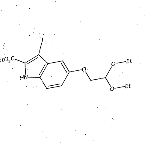 CCOC(=O)c1[nH]c2ccc(OCC(OCC)OCC)cc2c1I